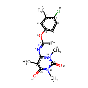 Cc1c(/N=C(/Oc2ccc(Cl)c(C(F)(F)F)c2)C(C)C)n(C)c(=O)n(C)c1=O